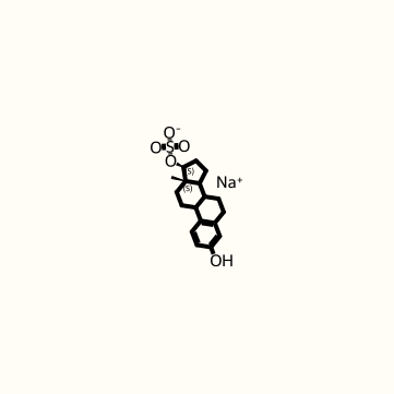 C[C@]12CCC3c4ccc(O)cc4CCC3C1CC[C@@H]2OS(=O)(=O)[O-].[Na+]